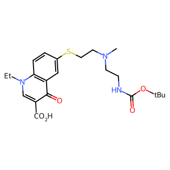 CCn1cc(C(=O)O)c(=O)c2cc(SCCN(C)CCNC(=O)OC(C)(C)C)ccc21